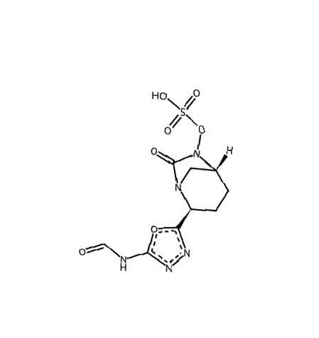 O=CNc1nnc([C@@H]2CC[C@@H]3CN2C(=O)N3OS(=O)(=O)O)o1